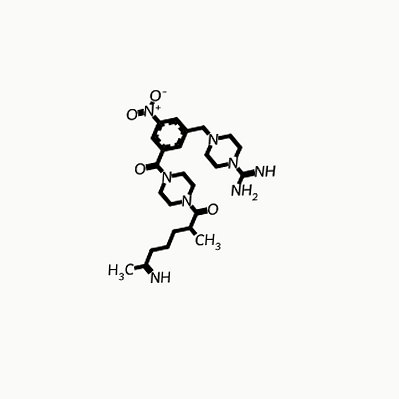 CC(=N)CCCC(C)C(=O)N1CCN(C(=O)c2cc(CN3CCN(C(=N)N)CC3)cc([N+](=O)[O-])c2)CC1